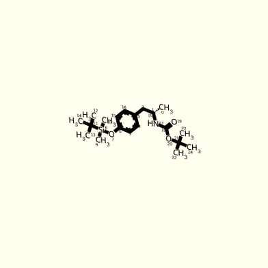 C[C@@H](Cc1ccc(O[Si](C)(C)C(C)(C)C)cc1)NC(=O)OC(C)(C)C